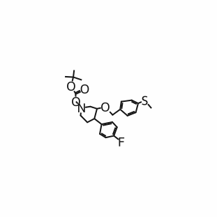 CSc1ccc(COC2CN(OC(=O)OC(C)(C)C)CCC2c2ccc(F)cc2)cc1